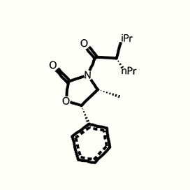 CCC[C@H](C(=O)N1C(=O)O[C@@H](c2ccccc2)[C@H]1C)C(C)C